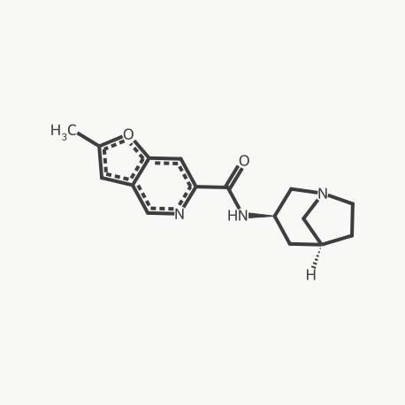 Cc1cc2cnc(C(=O)N[C@@H]3C[C@@H]4CCN(C4)C3)cc2o1